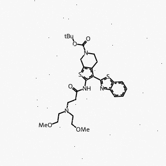 COCCN(CCOC)CCC(=O)Nc1sc2c(c1-c1nc3ccccc3s1)CCN(C(=O)OC(C)(C)C)C2